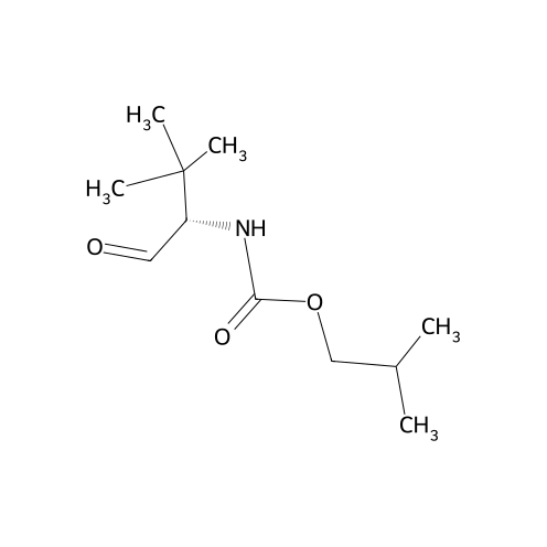 CC(C)COC(=O)N[C@H](C=O)C(C)(C)C